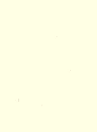 COC(C)C1=Cc2cc(Cl)c(Cl)cc2C1C(C)OC